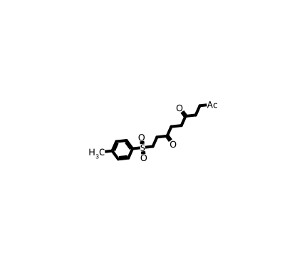 CC(=O)CCC(=O)CCC(=O)CCS(=O)(=O)c1ccc(C)cc1